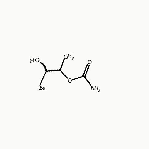 CC(OC(N)=O)C(O)C(C)(C)C